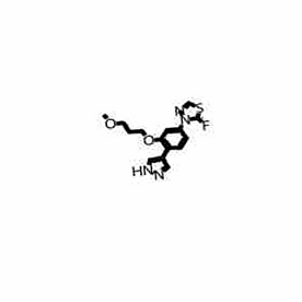 COCCCOc1cc(N2N=CS[C]2F)ccc1-c1cn[nH]c1